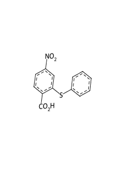 O=C(O)c1ccc([N+](=O)[O-])cc1Sc1ccccc1